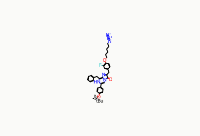 CC(C)(C)[Si](C)(C)Oc1ccc(-c2cn3c(=O)c(Cc4ccc(OCCCCCCN=[N+]=[N-])c(F)c4)nc-3c(Cc3ccccc3)[nH]2)cc1